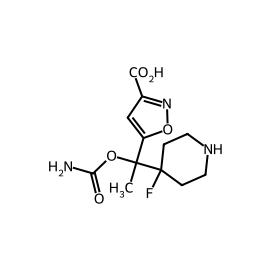 CC(OC(N)=O)(c1cc(C(=O)O)no1)C1(F)CCNCC1